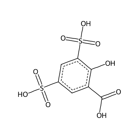 O=C(O)c1cc(S(=O)(=O)O)cc(S(=O)(=O)O)c1O